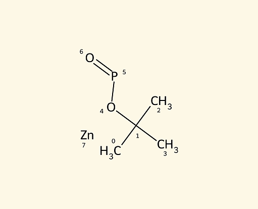 CC(C)(C)OP=O.[Zn]